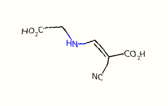 N#C/C(=C\NCC(=O)O)C(=O)O